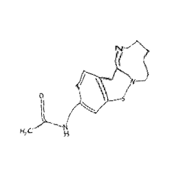 CC(=O)Nc1ccc2c(c1)SN1CCCN=C21